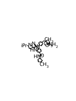 Cc1ccc(NC(=O)c2ccc(Oc3ccc(CC(C)(C)OC(N)=O)cc3)c(Nc3ncnc4nc(C(C)C)ccc34)c2)cc1